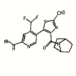 CC(C)(C)Nc1cc(C(F)F)c(-c2sc(C=O)nc2C(=O)N2C3CCC2CC3)cn1